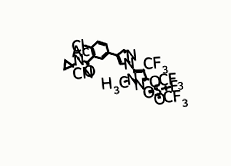 CC(=O)N(C(=O)c1cc(-c2cnn(-c3c(C(F)(F)F)c(OS(=O)(=O)C(F)(C(F)(F)F)C(F)(F)F)nn3C)c2)ccc1Cl)C1(C#N)CC1